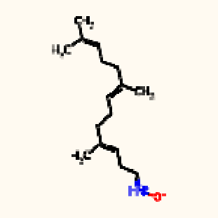 CC(C)=CCCC(C)=CCCC(C)=CCC=[NH+][O-]